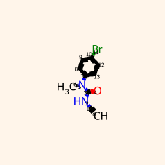 C#CNC(=O)N(C)c1ccc(Br)cc1